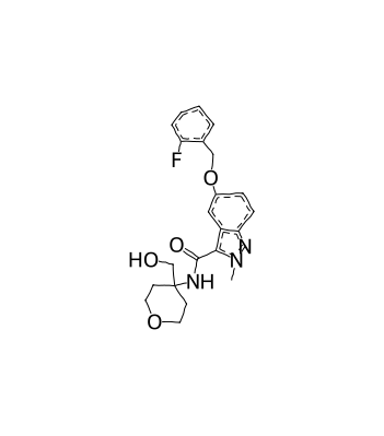 Cn1nc2ccc(OCc3ccccc3F)cc2c1C(=O)NC1(CO)CCOCC1